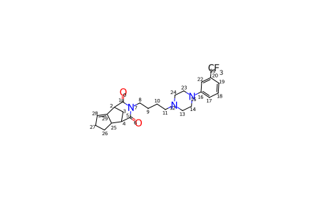 O=C1C2CC(C(=O)N1CCCCN1CCN(c3cccc(C(F)(F)F)c3)CC1)C1CCC=C21